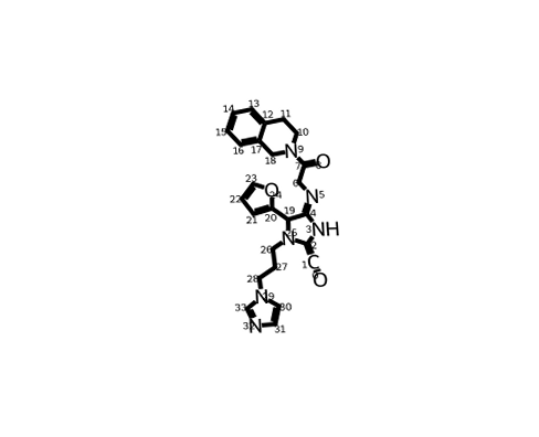 O=C=C1N/C(=N/CC(=O)N2CCc3ccccc3C2)C(c2ccco2)N1CCCn1ccnc1